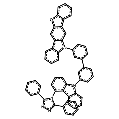 c1ccc(-c2nnc(-c3ccccc3)n2-c2cccc3c2c2ccccc2n3-c2cccc(-c3cccc(-n4c5ccccc5c5cc6oc7ccccc7c6cc54)c3)c2)cc1